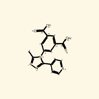 Cc1nnc(-c2ccncc2)n1-c1cc(C(=O)O)cc(C(=O)O)c1